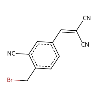 N#CC(C#N)=Cc1ccc(CBr)c(C#N)c1